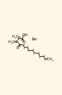 CCCCCCCCCCCC(=O)N(C)[C@@H](C)C(=O)O.[Na]